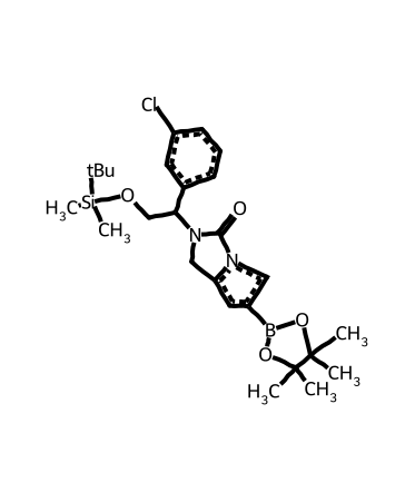 CC1(C)OB(c2cc3n(c2)C(=O)N(C(CO[Si](C)(C)C(C)(C)C)c2cccc(Cl)c2)C3)OC1(C)C